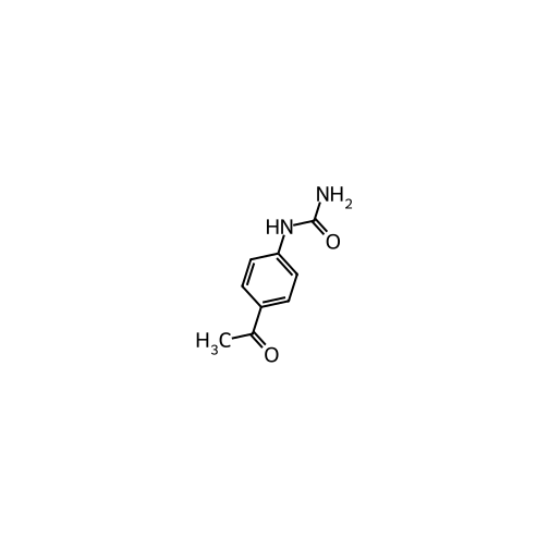 CC(=O)c1ccc(NC(N)=O)cc1